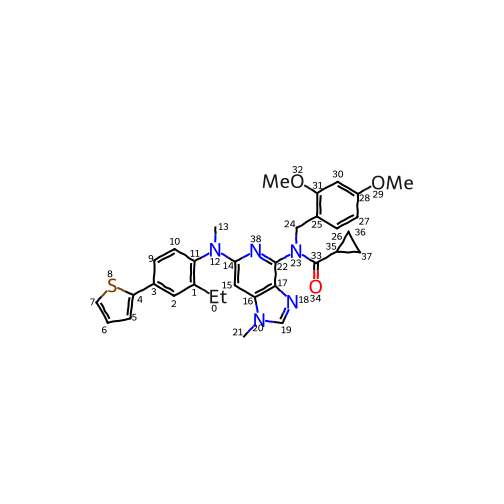 CCc1cc(-c2cccs2)ccc1N(C)c1cc2c(ncn2C)c(N(Cc2ccc(OC)cc2OC)C(=O)C2CC2)n1